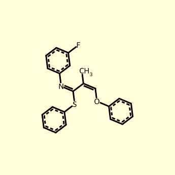 CC(=COc1ccccc1)C(=Nc1cccc(F)c1)Sc1ccccc1